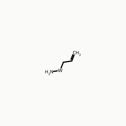 C=C[CH2][W][NH2]